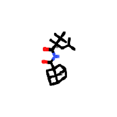 CC(C)C[C@](C)(C(=O)NC(=O)C12CC3CC4CC(C1)C42C3)C(C)(C)C